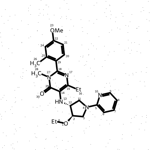 CCO[C@@H]1CN(c2ccccn2)C[C@H]1Nc1c(CC)nc(-c2ccc(OC)cc2C)n(C)c1=O